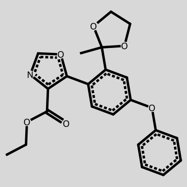 CCOC(=O)c1ncoc1-c1ccc(Oc2ccccc2)cc1C1(C)OCCO1